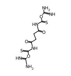 N=C(N)OC(=S)NC(=O)CCC(=O)NC(=S)OC(=N)N